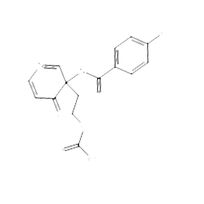 CCCC(=O)OCCC1(NC(=O)c2ccc(Cl)cc2)C=NC=CC1=O